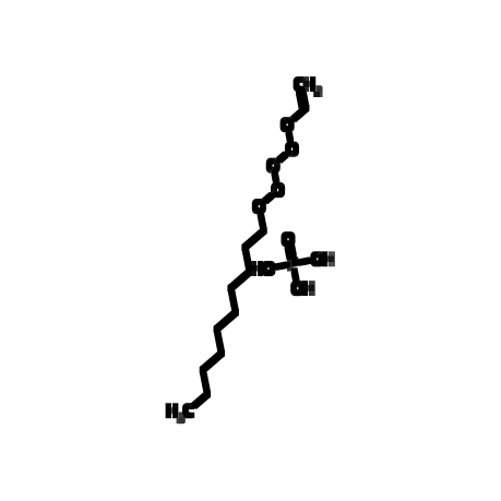 C=COOOOOCCCCCCCCCC.O=P(O)(O)O